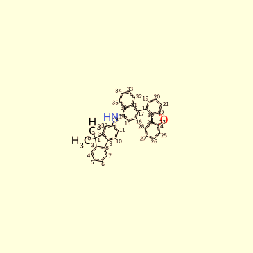 CC1(C)c2ccccc2-c2ccc(Nc3ccc(-c4cccc5oc6ccccc6c45)c4ccccc34)cc21